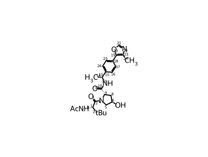 CC(=O)N[C@H](C(=O)N1C[C@H](O)C[C@H]1C(=O)N[C@@H](C)c1ccc(-c2ocnc2C)cc1)C(C)(C)C